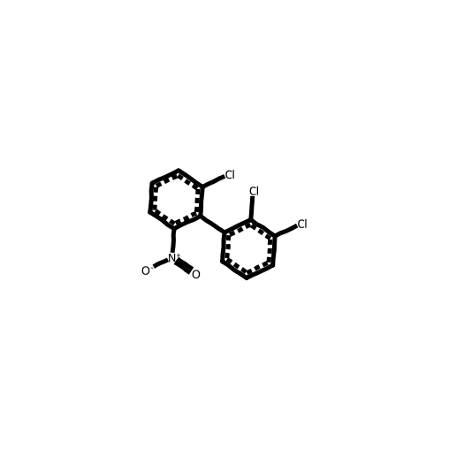 O=[N+]([O-])c1cccc(Cl)c1-c1cccc(Cl)c1Cl